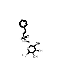 CC1O[C@H](CNS(=O)(=O)/C=C/c2ccccc2)C(O)[C@@H](O)[C@@H]1O